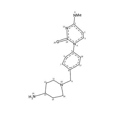 CNc1ccn(-c2ccc(CN3CCC(N)CC3)cc2)c(=O)n1